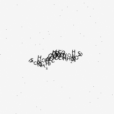 CCC(CC)(OC(=O)NCc1ccc(C(=O)Nc2cc(-c3cccs3)ccc2N)cc1)O[PH](=O)OC(CC)(CC)OC(=O)NCc1ccc(C(=O)Nc2cc(-c3cccs3)ccc2N)cc1